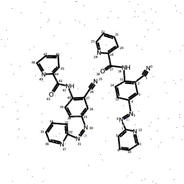 N#Cc1cc(/N=N/c2ccccn2)ccc1NC(=O)c1ccccn1.N#Cc1cc(/N=N\c2ccccn2)ccc1NC(=O)c1ccccn1